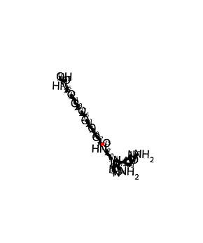 Nc1nc2cc(-c3nn(CCCCNC(=O)CCOCCOCCOCCOCCOCCOCCNC(=O)CO)c4ncnc(N)c34)ccc2o1